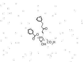 O=C(O)C[C@H]1[C@@H](C=CC(=O)CCc2ccccc2)[C@@H](OC(=O)c2ccccc2)C[C@H]1O